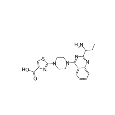 CCC(N)c1nc(N2CCN(c3nc(C(=O)O)cs3)CC2)c2ccccc2n1